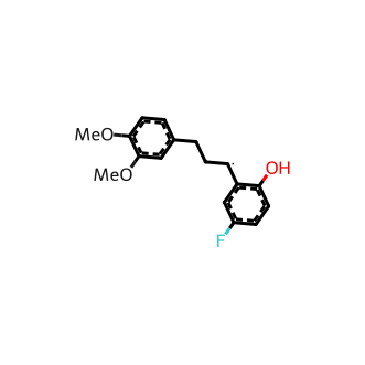 COc1ccc(CC[CH]c2cc(F)ccc2O)cc1OC